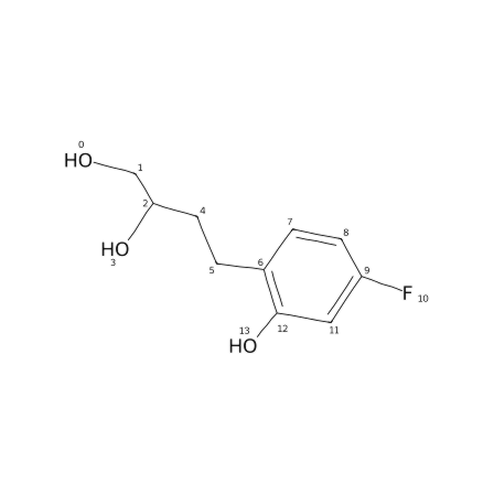 OCC(O)CCc1ccc(F)cc1O